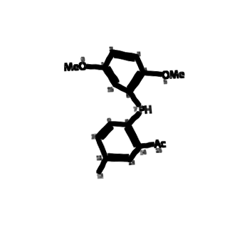 COc1ccc(OC)c(Pc2ccc(C)cc2C(C)=O)c1